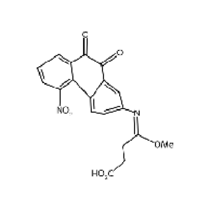 COC(CCC(=O)O)=Nc1ccc2c(c1)C(=O)C(=O)c1cccc([N+](=O)[O-])c1-2